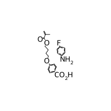 C=C(C)C(=O)OCCCCOc1ccc(C(=O)O)cc1.Nc1ccc(F)cc1